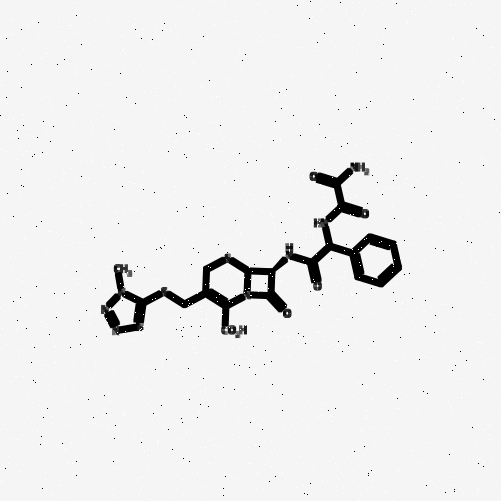 Cn1nnnc1SCC1=C(C(=O)O)N2C(=O)[C@H](NC(=O)C(NC(=O)C(N)=O)c3ccccc3)C2SC1